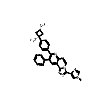 Cn1cnc(-c2nnc3c4cc(-c5ccccc5)c(-c5ccc([C@]6(N)C[C@@H](O)C6)cc5)nc4ccn23)c1